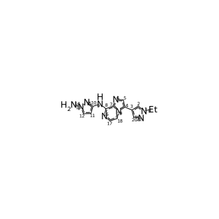 CCn1cc(-c2cnc3c(Nc4ccn(N)n4)nccn23)cn1